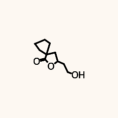 O=C1OC(CCO)CC12CCCC2